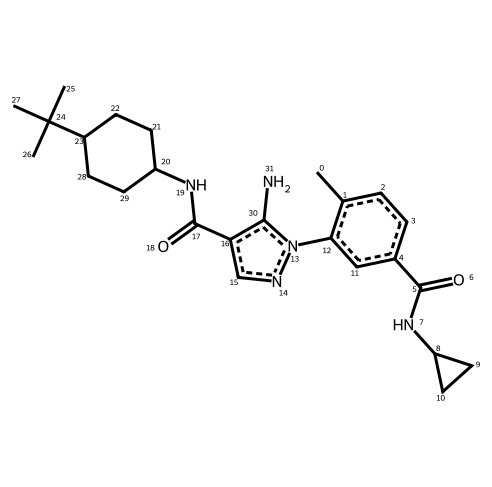 Cc1ccc(C(=O)NC2CC2)cc1-n1ncc(C(=O)NC2CCC(C(C)(C)C)CC2)c1N